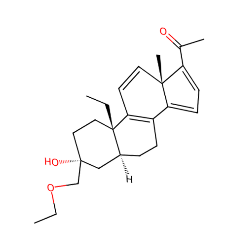 CCOC[C@@]1(O)CC[C@]2(CC)C3=C(CC[C@H]2C1)C1=CC=C(C(C)=O)[C@@]1(C)C=C3